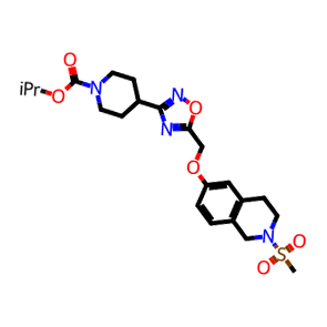 CC(C)OC(=O)N1CCC(c2noc(COc3ccc4c(c3)CCN(S(C)(=O)=O)C4)n2)CC1